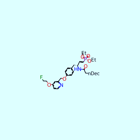 CCCCCCCCCCCC(=O)N[C@@H](/C=C/P(=O)(OCC)OCC)Cc1ccc(OCc2cc(OCCF)ccn2)cc1